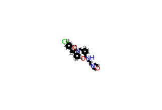 O=C(NCCCN1CCOCC1)c1cccc(CN2C(=O)[C@@]3(C[C@H]3c3ccc(Cl)cc3)c3ccccc32)c1